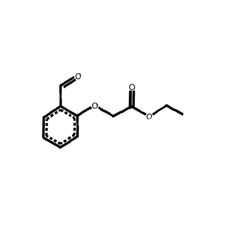 CCOC(=O)COc1ccccc1C=O